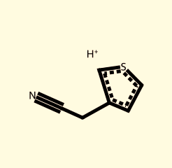 N#CCc1ccsc1.[H+]